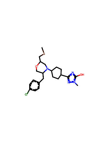 CSCC1CN(C2CCC(c3nc(O)n(C)n3)CC2)C(Cc2ccc(Cl)cc2)CO1